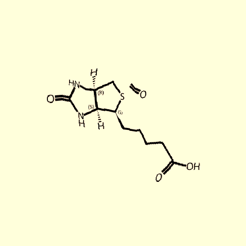 C=O.O=C(O)CCCC[C@@H]1SC[C@@H]2NC(=O)N[C@@H]21